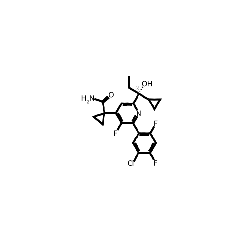 CC[C@](O)(c1cc(C2(C(N)=O)CC2)c(F)c(-c2cc(Cl)c(F)cc2F)n1)C1CC1